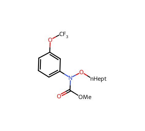 CCCCCCCON(C(=O)OC)c1cccc(OC(F)(F)F)c1